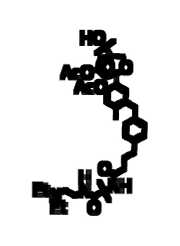 CCN(CC)CCNC(=O)C(C)(C)NC(=O)CCCc1ccc(Cc2cc([C@@]34OC[C@@](C(C)(C)O)(C[C@H](OC(C)=O)[C@H]3OC(C)=O)O4)ccc2C)cc1